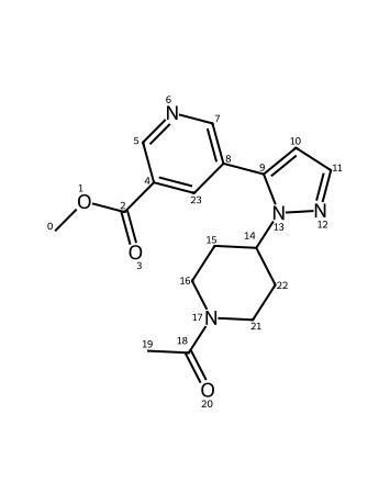 COC(=O)c1cncc(-c2ccnn2C2CCN(C(C)=O)CC2)c1